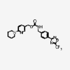 O=C(NCc1ccc(-c2noc(C(F)(F)F)n2)cc1)OCc1ccc(N2CCCCC2)nc1